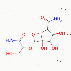 NC(=O)C(CO)O[C@@H]1OC2C(C(N)=O)[C@@H](O)C(O)C21O